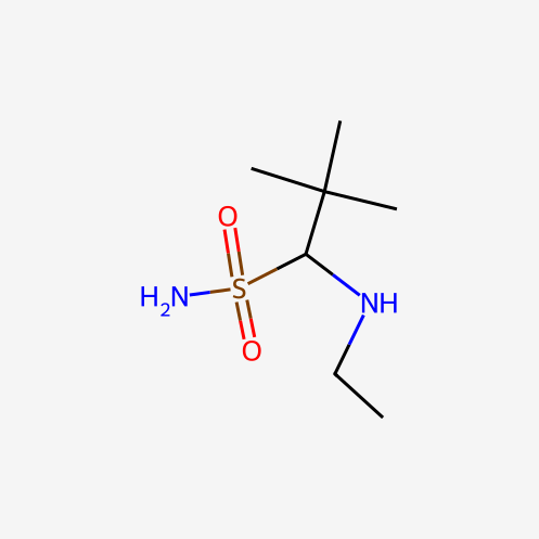 CCNC(C(C)(C)C)S(N)(=O)=O